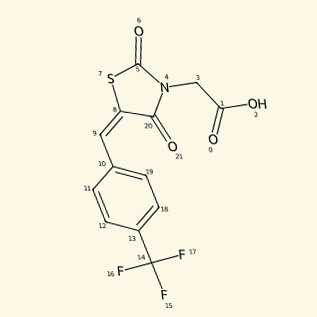 O=C(O)CN1C(=O)SC(=Cc2ccc(C(F)(F)F)cc2)C1=O